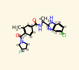 Cc1cc(C(=O)N[C@@H](C)c2nc3cc(Cl)ccc3[nH]2)ccc1C(=O)N1CCC(F)C1